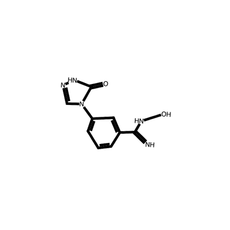 N=C(NO)c1cccc(-n2cn[nH]c2=O)c1